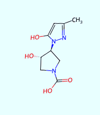 Cc1cc(O)n([C@H]2CN(C(=O)O)C[C@@H]2O)n1